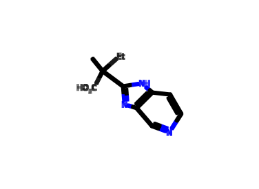 CCC(C)(C(=O)O)c1nc2cnccc2[nH]1